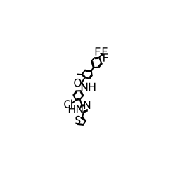 Cc1cc(-c2ccc(C(F)(F)F)cc2)ccc1C(=O)Nc1ccc(Cl)c(-c2ncc(-c3cccs3)[nH]2)c1